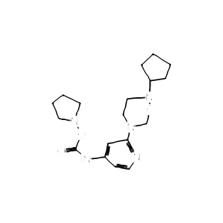 O=C(Nc1ccnc(N2CCN(C3CCCC3)CC2)c1)ON1CCCC1